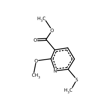 COC(=O)c1ccc(SC)nc1OC